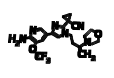 C=C(CCn1cc(-c2cnc(N)c(OC(F)(F)F)c2)nc1C1(C#N)CC1)N1CCOCC1